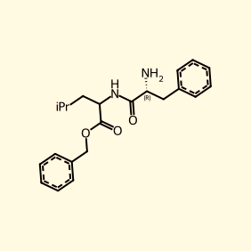 CC(C)CC(NC(=O)[C@H](N)Cc1ccccc1)C(=O)OCc1ccccc1